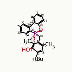 Cc1cc(C(C)(C)C)c(O)c(C)c1CP1(=O)Oc2ccccc2-c2ccccc21